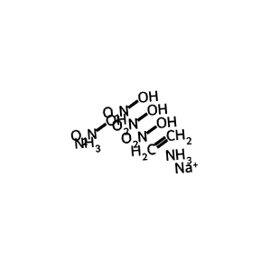 C=C.N.N.O=[N+]([O-])O.O=[N+]([O-])O.O=[N+]([O-])O.O=[N+]([O-])O.[Na+]